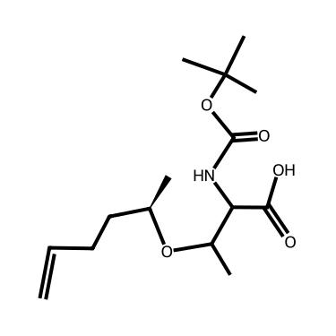 C=CCC[C@@H](C)OC(C)C(NC(=O)OC(C)(C)C)C(=O)O